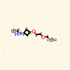 CC(C)(C)COCCO[C@H]1C[C@H](NC(C)(C)C)C1